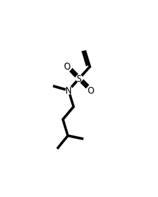 C=CS(=O)(=O)N(C)CCC(C)C